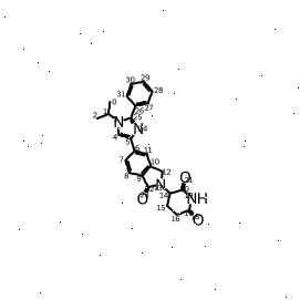 CC(C)n1cc(-c2ccc3c(c2)CN(C2CCC(=O)NC2=O)C3=O)nc1-c1ccccc1